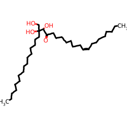 CCCCCCCC/C=C\CCCCCCCC(=O)C(O)C(O)(CO)CCCCCCCCCCCCCCCC